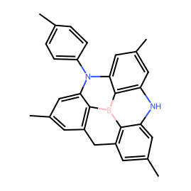 Cc1ccc(N2c3cc(C)cc4c3B3c5c(cc(C)cc5Nc5cc(C)cc2c53)C4)cc1